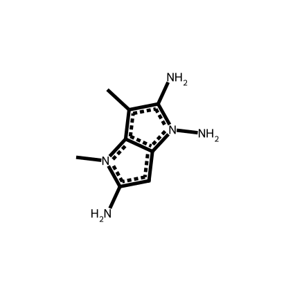 Cc1c(N)n(N)c2cc(N)n(C)c12